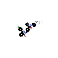 O=C(O)c1cccc(NC(=O)C(c2ccc(Cn3nc(-c4ccc(Cl)cc4)c4ccccc4c3=O)cc2)C2CCCC2)c1